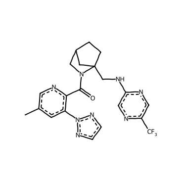 Cc1cnc(C(=O)N2CC3CCC2(CNc2cnc(C(F)(F)F)cn2)C3)c(-n2nccn2)c1